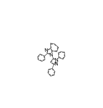 c1ccc(-c2cc(-n3c(-c4ccccc4)nc4ccccc43)n(-c3ccccc3)n2)cc1